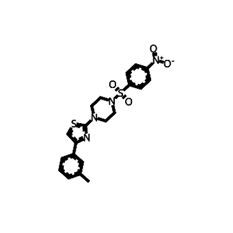 Cc1cccc(-c2csc(N3CCN(S(=O)(=O)c4ccc([N+](=O)[O-])cc4)CC3)n2)c1